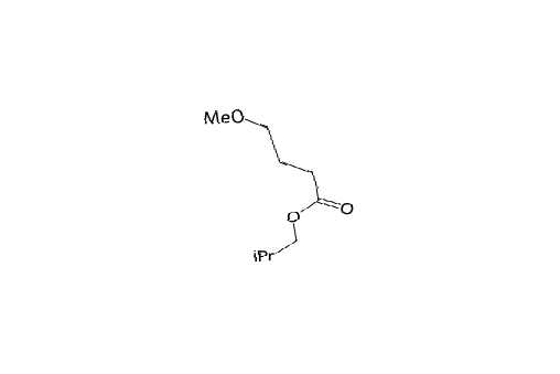 COCCCC(=O)OCC(C)C